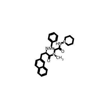 CN[C@H](Cc1ccc2ccccc2c1)C(=O)N(C)[C@H](Cc1ccccc1)C(=O)NN1CCCCC1